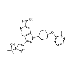 CCNc1cc2c(cn1)c(-c1cnn(C(C)(C)C#N)c1)nn2C1CCC(Oc2nccnc2C)CC1